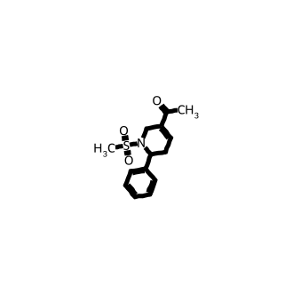 CC(=O)C1=CCC(c2ccccc2)N(S(C)(=O)=O)C1